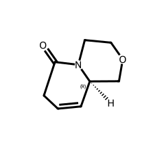 O=C1CC=C[C@@H]2COCCN12